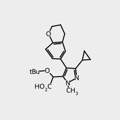 Cn1nc(C2CC2)c(-c2ccc3c(c2)CCCO3)c1C(OC(C)(C)C)C(=O)O